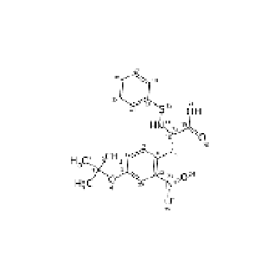 CC(C)(C)Oc1ccc(C[C@H](NSc2ccccc2)C(=O)O)c([N+](=O)[O-])c1